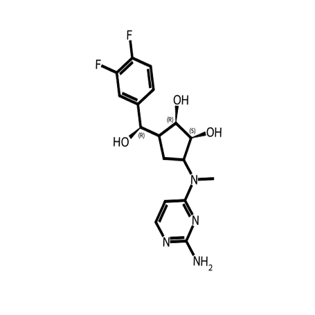 CN(c1ccnc(N)n1)C1CC([C@@H](O)c2ccc(F)c(F)c2)[C@@H](O)[C@H]1O